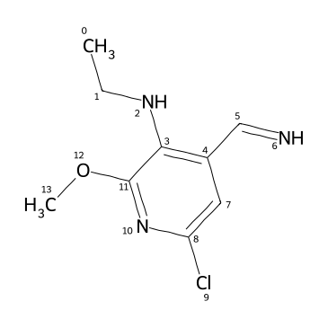 CCNc1c(C=N)cc(Cl)nc1OC